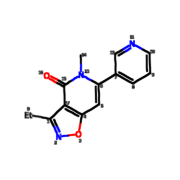 CCc1noc2cc(-c3cccnc3)n(C)c(=O)c12